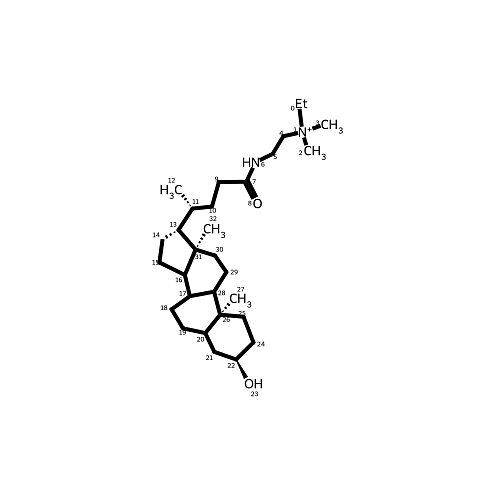 CC[N+](C)(C)CCNC(=O)CC[C@@H](C)[C@H]1CCC2C3CCC4C[C@H](O)CC[C@]4(C)C3CC[C@@]21C